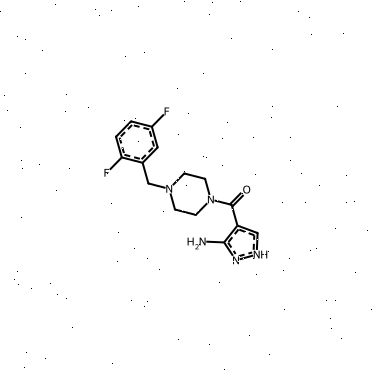 Nc1n[nH]cc1C(=O)N1CCN(Cc2cc(F)ccc2F)CC1